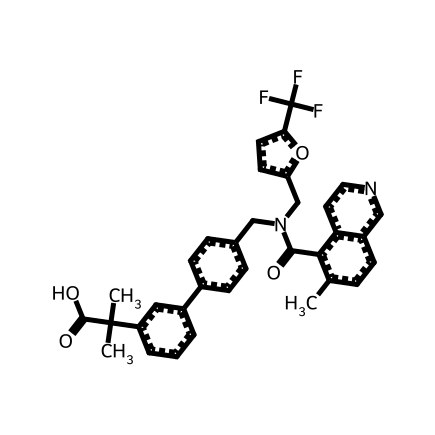 Cc1ccc2cnccc2c1C(=O)N(Cc1ccc(-c2cccc(C(C)(C)C(=O)O)c2)cc1)Cc1ccc(C(F)(F)F)o1